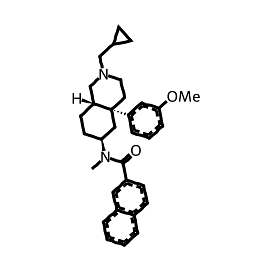 COc1cccc([C@@]23CCN(CC4CC4)C[C@H]2CC[C@H](N(C)C(=O)c2ccc4ccccc4c2)C3)c1